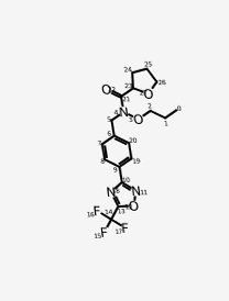 CCCON(Cc1ccc(-c2noc(C(F)(F)F)n2)cc1)C(=O)C1CCCO1